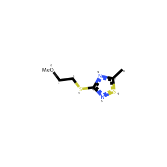 COCCSc1nsc(C)n1